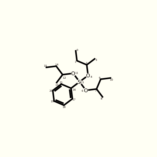 CCC(C)O[Si](OC(C)CC)(OC(C)CC)c1ccccc1